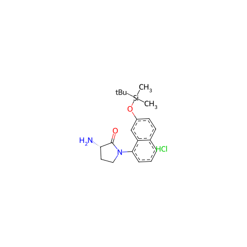 CC(C)(C)[Si](C)(C)Oc1ccc2cccc(N3CC[C@H](N)C3=O)c2c1.Cl